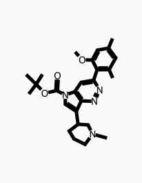 COc1cc(C)cc(C)c1-c1cc2c(nn1)c(C1CCCN(C)C1)cn2C(=O)OC(C)(C)C